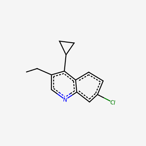 CCc1cnc2cc(Cl)ccc2c1C1CC1